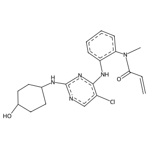 C=CC(=O)N(C)c1ccccc1Nc1nc(NC2CCC(O)CC2)ncc1Cl